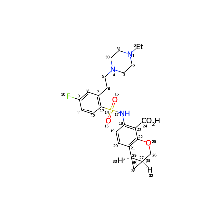 CCN1CCN(CCc2cc(F)ccc2S(=O)(=O)Nc2ccc3c(c2C(=O)O)OC[C@H]2C[C@@H]32)CC1